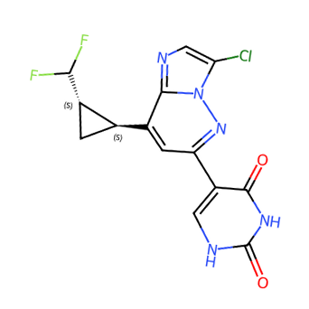 O=c1[nH]cc(-c2cc([C@H]3C[C@@H]3C(F)F)c3ncc(Cl)n3n2)c(=O)[nH]1